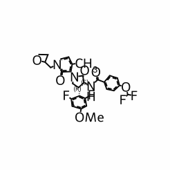 COc1cc(F)c([C@@H]2CN(c3c(C)ccn(CC4CCO4)c3=O)C(=O)[C@H]2NC(=O)c2ccc(OC(F)F)cc2)c(F)c1